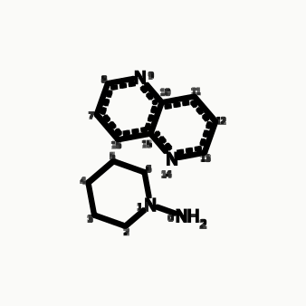 NN1CCCCC1.c1cnc2cccnc2c1